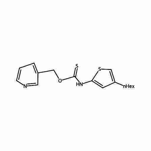 CCCCCCc1csc(NC(=S)OCc2cccnc2)c1